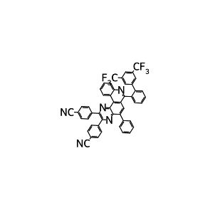 N#Cc1ccc(-c2nc3c(-c4ccccc4)cc4c(-c5ccccc5-c5cc(C(F)(F)F)cc(C(F)(F)F)c5)nc5ccccc5c4c3nc2-c2ccc(C#N)cc2)cc1